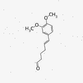 COc1ccc(C=CCCC[C]=O)cc1OC